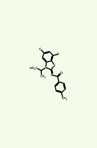 Cc1ccc(C(=O)N=c2sc3c(F)cc(F)cc3n2C(C)C(=O)O)cc1